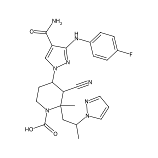 CC(CC1(C)C(C#N)C(n2cc(C(N)=O)c(Nc3ccc(F)cc3)n2)CCN1C(=O)O)n1cccn1